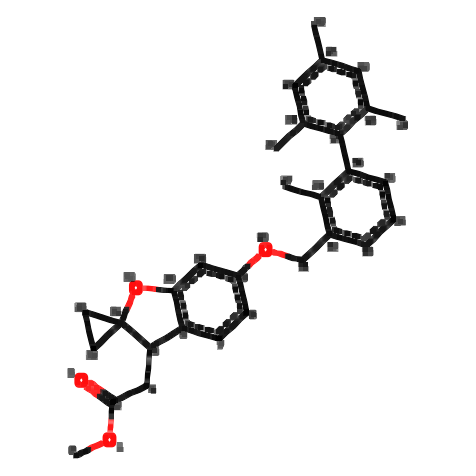 COC(=O)CC1c2ccc(OCc3cccc(-c4c(C)cc(C)cc4C)c3C)cc2OC12CC2